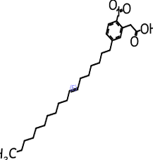 CCCCCCCCCC/C=C/CCCCCCc1ccc(I(=O)=O)c(CC(=O)O)c1